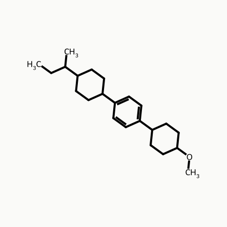 CCC(C)C1CCC(c2ccc(C3CCC(OC)CC3)cc2)CC1